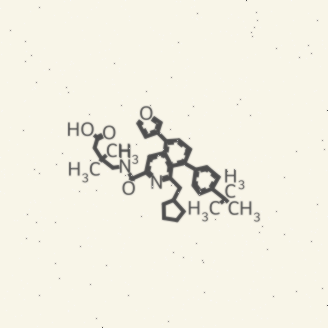 CC(C)(CNC(=O)c1cc2c(-c3ccoc3)ccc(-c3ccc(C(C)(C)C)cc3)c2c(CC2CCCC2)n1)CC(=O)O